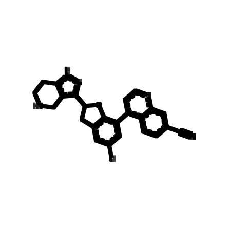 N#Cc1ccc2c(-c3cc(Cl)cc4c3OC(c3n[nH]c5c3CNCC5)C4)ccnc2c1